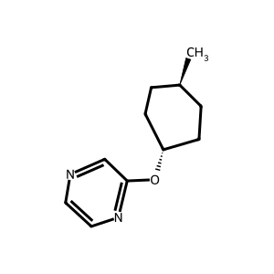 C[C@H]1CC[C@H](Oc2cnccn2)CC1